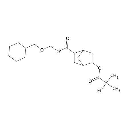 CCC(C)(C)C(=O)OC1CC2CC1CC2C(=O)OCOCC1CCCCC1